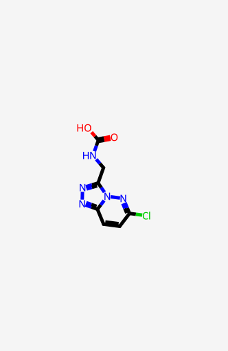 O=C(O)NCc1nnc2ccc(Cl)nn12